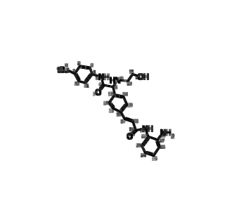 CC(C)(C)c1ccc(NC(=O)C(NCCO)c2ccc(/C=C/C(=O)Nc3ccccc3N)cc2)cc1